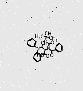 CC(C(C(=O)O)N(C(=O)OC(C)(C)C)C(=O)c1ccccc1)N(c1ccccc1)c1ccccc1